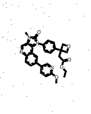 CCOC(=O)CC1(c2ccc(-n3c(=O)n(C)c4cnc5ccc(-c6ccc(OC)nc6)cc5c43)cc2)COC1